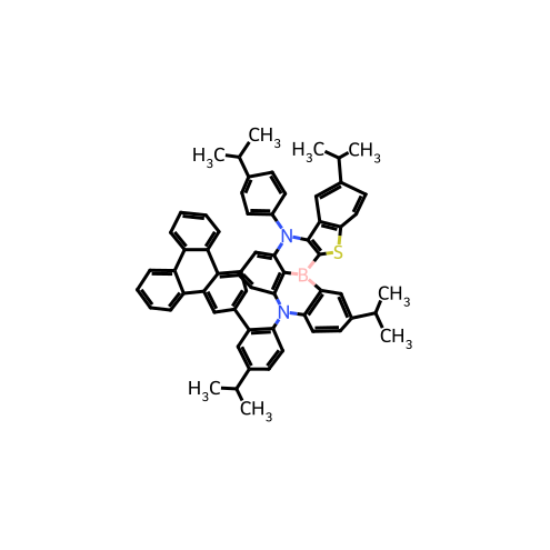 CC(C)c1ccc(N2c3cccc4c3B(c3cc(C(C)C)ccc3N4c3ccc(C(C)C)cc3-c3ccc4c5ccccc5c5ccccc5c4c3)c3sc4ccc(C(C)C)cc4c32)cc1